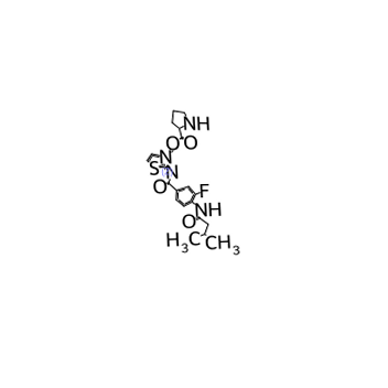 CC(C)CC(=O)Nc1ccc(C(=O)/N=c2\sccn2COC(=O)C2CCCN2)cc1F